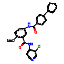 COc1ccc(NC(=O)c2ccc(-c3ccccc3)cc2)cc1C(=O)Nc1ccncc1Cl